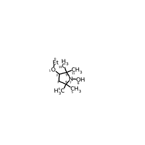 CCOC1CC(C)(C)N(O)C1(C)C